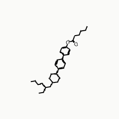 CCCCCC(=O)Oc1ccc(-c2ccc(C3CCC(CC(CC)CCCC)CC3)cc2)cc1